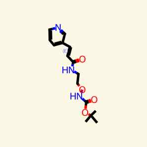 CC(C)(C)OC(=O)NOCCNC(=O)/C=C/c1cccnc1